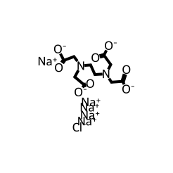 O=C([O-])CN(CCN(CC(=O)[O-])CC(=O)[O-])CC(=O)[O-].[Cl-].[Na+].[Na+].[Na+].[Na+].[Na+]